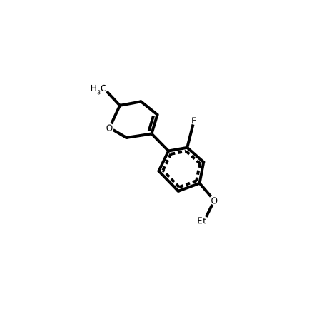 CCOc1ccc(C2=CCC(C)OC2)c(F)c1